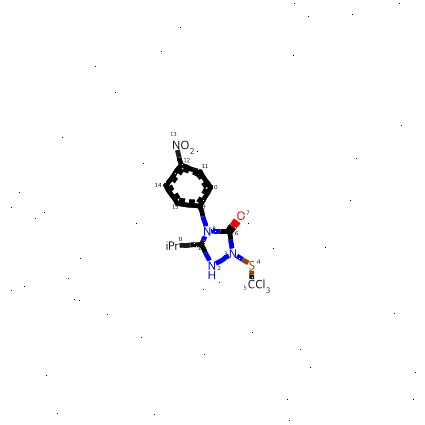 CC(C)C1NN(SC(Cl)(Cl)Cl)C(=O)N1c1ccc([N+](=O)[O-])cc1